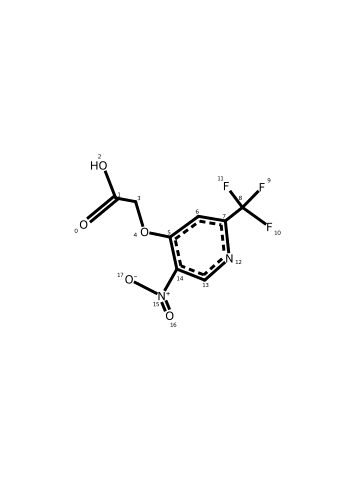 O=C(O)COc1cc(C(F)(F)F)ncc1[N+](=O)[O-]